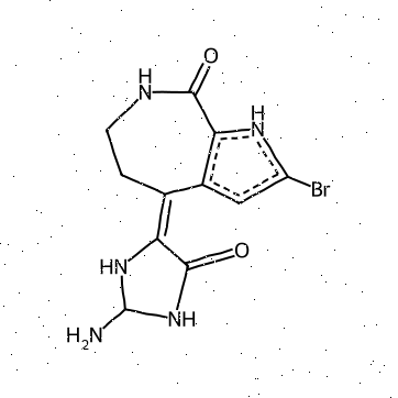 NC1NC(=O)C(=C2CCNC(=O)c3[nH]c(Br)cc32)N1